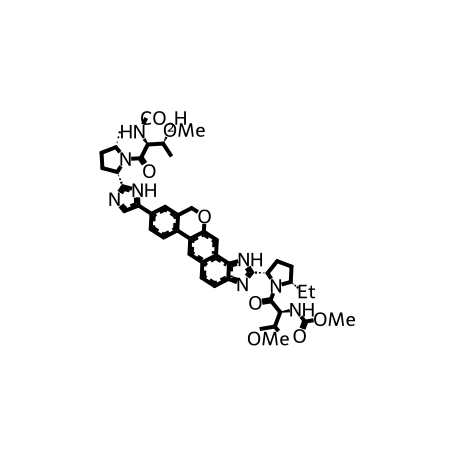 CC[C@H]1CC[C@@H](c2nc3ccc4cc5c(cc4c3[nH]2)OCc2cc(-c3cnc([C@@H]4CC[C@H](C)N4C(=O)[C@@H](NC(=O)O)[C@@H](C)OC)[nH]3)ccc2-5)N1C(=O)[C@@H](NC(=O)OC)C(C)OC